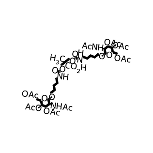 CC(=O)NC1C(OC(C)=O)[C@@H](OC(C)=O)C(COC(C)=O)O[C@H]1OCCCCCNC(=O)OCC(C)(COC(=O)NCCCCCO[C@@H]1OC(COC(C)=O)[C@H](OC(C)=O)C(OC(C)=O)[C@@H]1NC(C)=O)C(=O)O